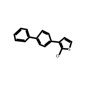 Clc1sccc1-c1ccc(-c2ccccc2)cc1